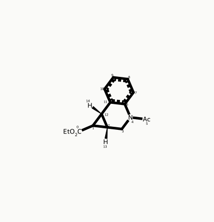 CCOC(=O)C1[C@H]2CN(C(C)=O)c3ccccc3[C@@H]12